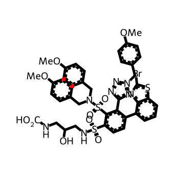 COc1ccc(CN(Cc2ccc(OC)cc2)S(=O)(=O)c2c(S(=O)(=O)NCC(O)CNC(=O)O)ccc(-c3cccc4sc(Br)nc34)c2-c2nnn(Cc3ccc(OC)cc3)n2)cc1